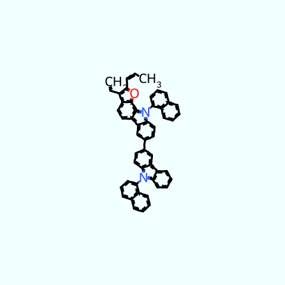 C=Cc1c(/C=C\C)oc2c1ccc1c3cc(-c4ccc5c(c4)c4ccccc4n5-c4cccc5ccccc45)ccc3n(-c3cccc4ccccc34)c12